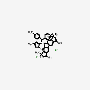 CC1=CC(C)[C]([Zr+2](=[C](c2ccc(C)cc2)c2ccc(C)cc2)[CH]2c3cc4c(cc3-c3cc5c(cc32)C(C)(C)C=C5C(C)(C)C)C(C(C)(C)C)=CC4(C)C)=C1.[Cl-].[Cl-]